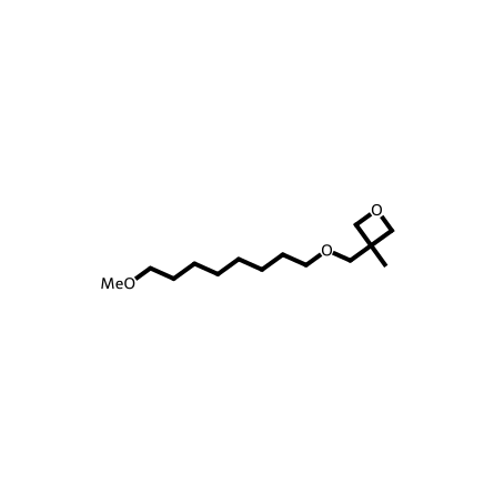 COCCCCCCCCOCC1(C)COC1